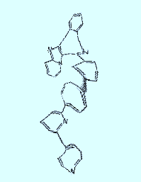 c1cc(-c2ccc(-c3cccc(-c4ccncc4)n3)cc2)cc(-c2nc3ccccc3c3nc4ccccn4c23)c1